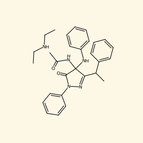 CC(=O)NC1(Nc2ccccc2)C(=O)N(c2ccccc2)N=C1C(C)c1ccccc1.CCNCC